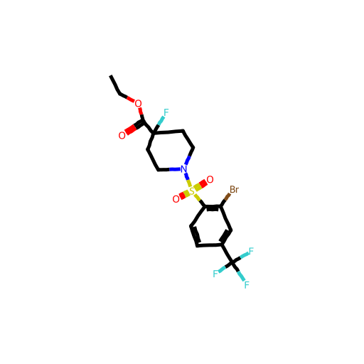 CCOC(=O)C1(F)CCN(S(=O)(=O)c2ccc(C(F)(F)F)cc2Br)CC1